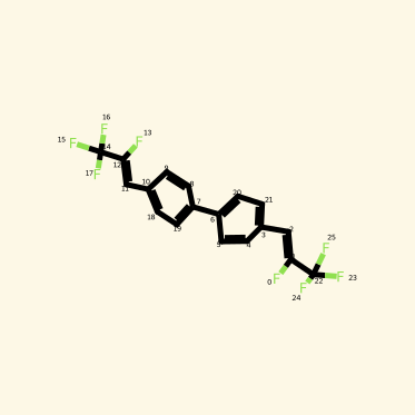 FC(=Cc1ccc(-c2ccc(C=C(F)C(F)(F)F)cc2)cc1)C(F)(F)F